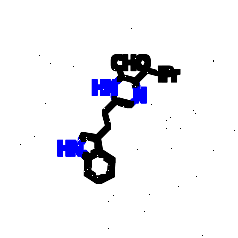 CC(C)CC1=NC=C(CCc2c[nH]c3ccccc23)NC1C=O